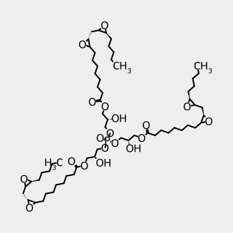 CCCCC[C@@H]1OC1C[C@H]1OC1CCCCCCCC(=O)OC[C@H](O)COP(=O)(OC[C@@H](O)COC(=O)CCCCCCCC1O[C@@H]1CC1O[C@H]1CCCCC)OC[C@@H](O)COC(=O)CCCCCCCC1O[C@@H]1CC1O[C@H]1CCCCC